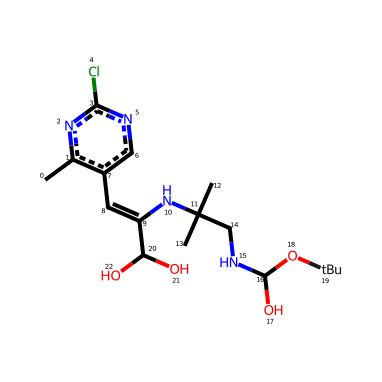 Cc1nc(Cl)ncc1/C=C(\NC(C)(C)CNC(O)OC(C)(C)C)C(O)O